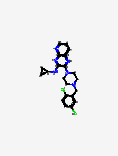 Clc1ccc(Cl)c(CN2CCN(c3nc4cccnc4nc3NC3CC3)CC2)c1